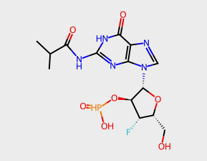 CC(C)C(=O)Nc1nc2c(ncn2[C@@H]2O[C@H](CO)[C@H](F)[C@H]2O[PH](=O)O)c(=O)[nH]1